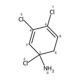 NC1(Cl)C=C(Cl)C(Cl)=CC1